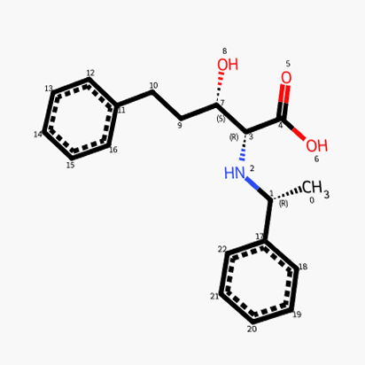 C[C@@H](N[C@@H](C(=O)O)[C@@H](O)CCc1ccccc1)c1ccccc1